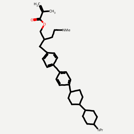 C=C(C)C(=O)OCC(CCNC)Cc1ccc(-c2ccc(C3CCC(C4CCC(CCC)CC4)CC3)cc2)cc1